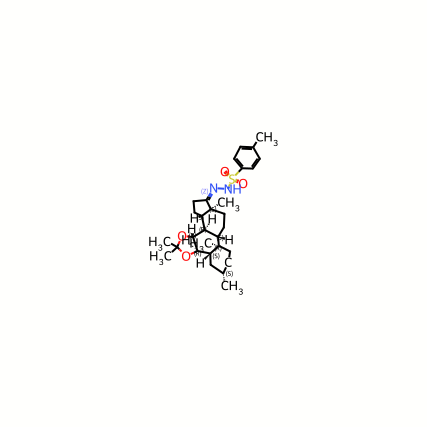 Cc1ccc(S(=O)(=O)N/N=C2/CC[C@H]3[C@@H]4[C@H]5OC(C)(C)O[C@@H]5[C@H]5C[C@@H](C)CC[C@]5(C)[C@H]4CC[C@]23C)cc1